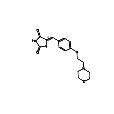 O=C1NC(=O)/C(=C/c2ccc(OCCN3CCOCC3)cc2)S1